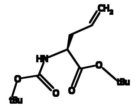 C=CC[C@H](NC(=O)OC(C)(C)C)C(=O)OC(C)(C)C